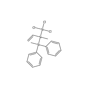 C=C[Si](C)([Si](Cl)(Cl)Cl)[Si](C)(c1ccccc1)c1ccccc1